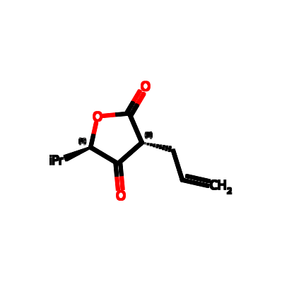 C=CC[C@H]1C(=O)O[C@H](C(C)C)C1=O